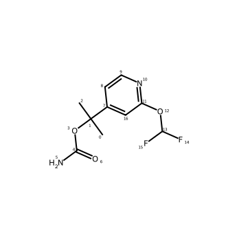 CC(C)(OC(N)=O)c1ccnc(OC(F)F)c1